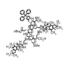 CCCCOC(=O)CC[C@H](NC(=O)[C@H](CCCNC(=N)NS(=O)(=O)c1c(C)c(C)c2c(c1C)CC(C)(C)O2)NC(=O)[C@H](Cc1cn(C(c2ccccc2)(c2ccccc2)c2ccccc2)cn1)NC(=O)[C@H](C)N)C(=O)N[C@@H](CCCNC(=N)NS(=O)(=O)c1c(C)c(C)c2c(c1C)CC(C)(C)O2)C(=O)N[C@@H](CCSC)C(=O)N[C@@H](COC(C)(C)C)C(=O)O